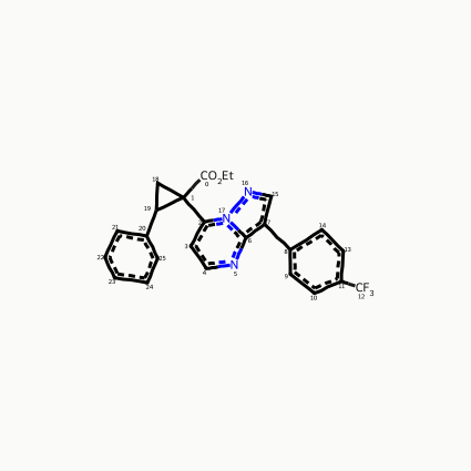 CCOC(=O)C1(c2ccnc3c(-c4ccc(C(F)(F)F)cc4)cnn23)CC1c1ccccc1